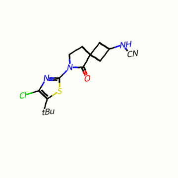 CC(C)(C)c1sc(N2CCC3(CC(NC#N)C3)C2=O)nc1Cl